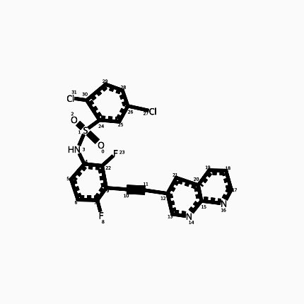 O=S(=O)(Nc1ccc(F)c(C#Cc2cnc3ncccc3c2)c1F)c1cc(Cl)ccc1Cl